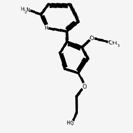 COc1cc(OCCO)ccc1-c1cccc(N)n1